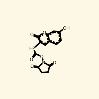 O=C(ON1C(=O)CCC1=O)Pc1cc2ccc(O)cc2oc1=O